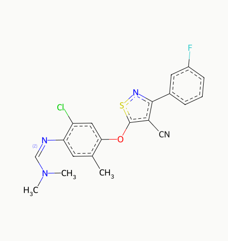 Cc1cc(/N=C\N(C)C)c(Cl)cc1Oc1snc(-c2cccc(F)c2)c1C#N